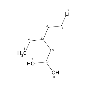 [Li][CH2]CC(CC)CC(O)O